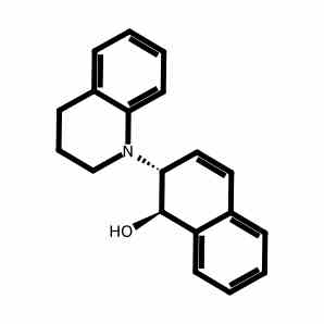 O[C@@H]1c2ccccc2C=C[C@H]1N1CCCc2ccccc21